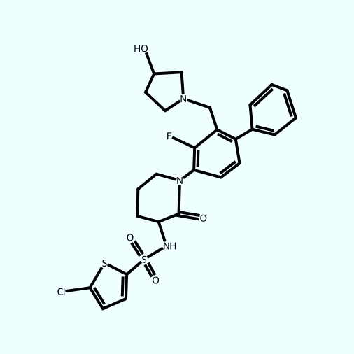 O=C1C(NS(=O)(=O)c2ccc(Cl)s2)CCCN1c1ccc(-c2ccccc2)c(CN2CCC(O)C2)c1F